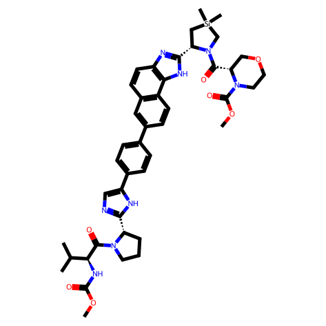 COC(=O)N[C@H](C(=O)N1CCC[C@H]1c1ncc(-c2ccc(-c3ccc4c(ccc5nc([C@@H]6C[Si](C)(C)CN6C(=O)[C@@H]6COCCN6C(=O)OC)[nH]c54)c3)cc2)[nH]1)C(C)C